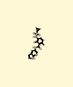 O=C(Nc1cnc2[nH]ccc2c1)c1c(F)ccc(NS(=O)(=O)C2CC2)c1F